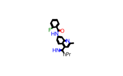 CCCC(=N)c1cc(C)nc2cc(NC(=O)c3ccccc3F)ccc12